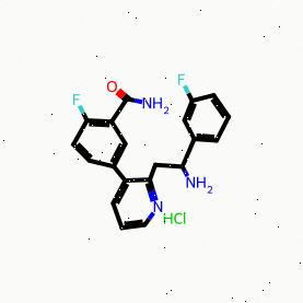 Cl.NC(=O)c1cc(-c2cccnc2CC(N)c2cccc(F)c2)ccc1F